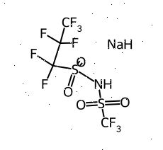 O=S(=O)(NS(=O)(=O)C(F)(F)C(F)(F)C(F)(F)F)C(F)(F)F.[NaH]